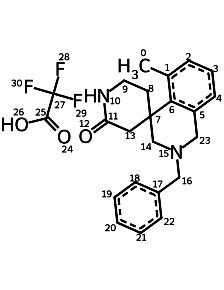 Cc1cccc2c1C1(CCNC(=O)C1)CN(Cc1ccccc1)C2.O=C(O)C(F)(F)F